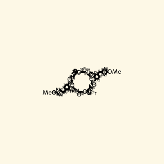 COc1cnc(Cc2ccc(C[C@H]3OC(=O)[C@H](CC(C)C)N(C)C(=O)[C@@H](C)OC(=O)[C@H](CC(C)C)N(C)C(=O)[C@@H](Cc4ccc(Cc5cnc(OC)cn5)cc4)OC(=O)[C@H](CC(C)C)N(C)C(=O)[C@@H](C)OC(=O)[C@H](CC(C)C)N(C)C3=O)cc2)cn1